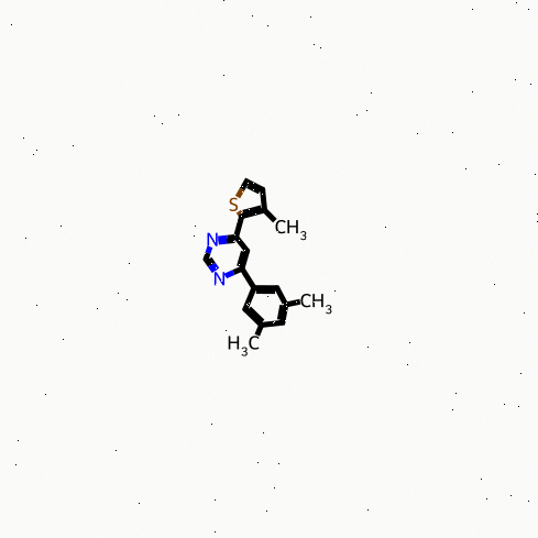 Cc1cc(C)cc(-c2cc(-c3sccc3C)ncn2)c1